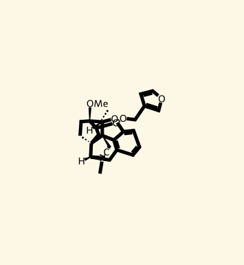 CO[C@]12CC[C@@]3(C[C@]1(C)COCc1ccoc1)[C@H]1Cc4cccc5c4[C@@]3(CCN1C)[C@H]2O5